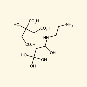 NCCNC(O)CC(O)(O)O.O=C(O)CC(O)(CC(=O)O)C(=O)O